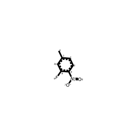 Cc1[c]cc([N+](=O)[O-])c(F)c1